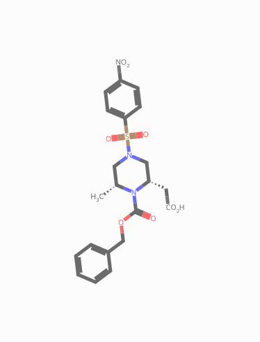 C[C@@H]1CN(S(=O)(=O)c2ccc([N+](=O)[O-])cc2)C[C@H](CC(=O)O)N1C(=O)OCc1ccccc1